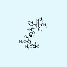 Cc1oc(C(C)(C)C)cc1C(=O)NCC(=O)N[C@H]1CC[C@@H](NC(C)(C)C)C[C@@H]1CO